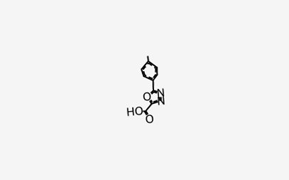 Cc1ccc(-c2nnc(C(=O)O)o2)cc1